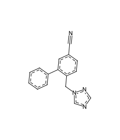 N#Cc1ccc(Cn2cncn2)c(-c2ccccc2)c1